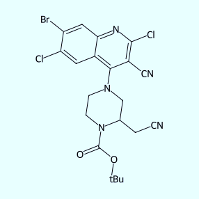 CC(C)(C)OC(=O)N1CCN(c2c(C#N)c(Cl)nc3cc(Br)c(Cl)cc23)CC1CC#N